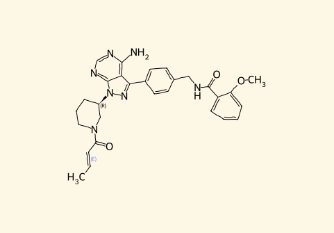 C/C=C/C(=O)N1CCC[C@@H](n2nc(-c3ccc(CNC(=O)c4ccccc4OC)cc3)c3c(N)ncnc32)C1